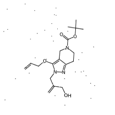 C=CCOc1c2c(nn1CC(=C)CO)CCN(C(=O)OC(C)(C)C)C2